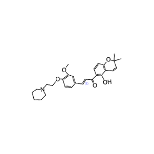 COc1cc(/C=C/C(=O)c2ccc3c(c2O)C=CC(C)(C)O3)ccc1OCCN1CCCCC1